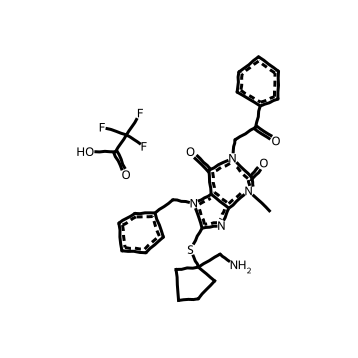 Cn1c(=O)n(CC(=O)c2ccccc2)c(=O)c2c1nc(SC1(CN)CCCC1)n2Cc1ccccc1.O=C(O)C(F)(F)F